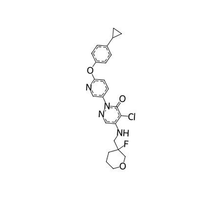 O=c1c(Cl)c(NCC2(F)CCCOC2)cnn1-c1ccc(Oc2ccc(C3CC3)cc2)nc1